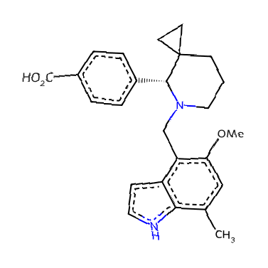 COc1cc(C)c2[nH]ccc2c1CN1CCCC2(CC2)[C@H]1c1ccc(C(=O)O)cc1